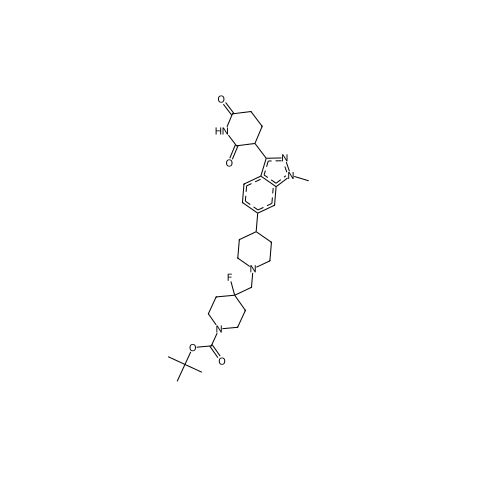 Cn1nc(C2CCC(=O)NC2=O)c2ccc(C3CCN(CC4(F)CCN(C(=O)OC(C)(C)C)CC4)CC3)cc21